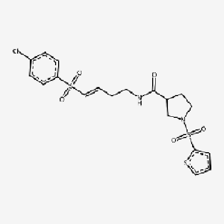 O=C(NCC/C=C/S(=O)(=O)c1ccc(Cl)cc1)C1CCN(S(=O)(=O)c2cccs2)C1